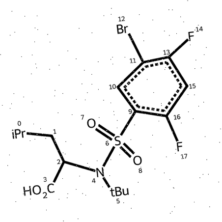 CC(C)CC(C(=O)O)N(C(C)(C)C)S(=O)(=O)c1cc(Br)c(F)cc1F